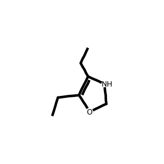 CCC1=C(CC)OCN1